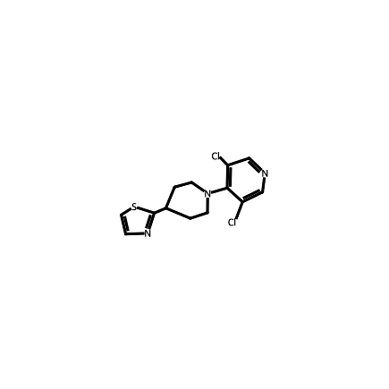 Clc1cncc(Cl)c1N1CCC(c2nccs2)CC1